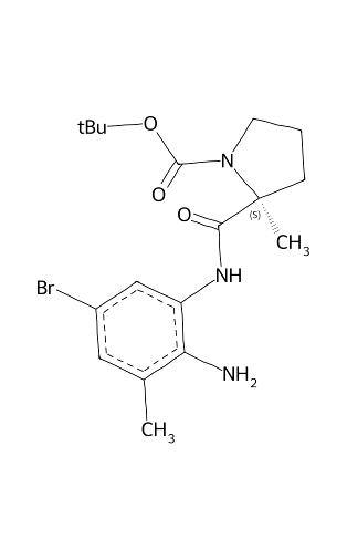 Cc1cc(Br)cc(NC(=O)[C@]2(C)CCCN2C(=O)OC(C)(C)C)c1N